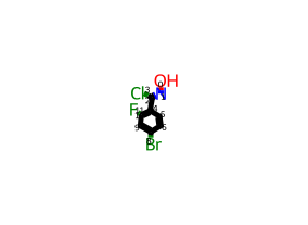 ON=C(Cl)c1ccc(Br)cc1F